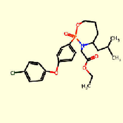 CCOC(=O)CN1C(CC(C)C)CCCOP1(=O)c1ccc(Oc2ccc(Cl)cc2)cc1